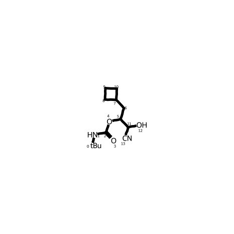 CC(C)(C)NC(=O)OC(CC1CCC1)C(O)C#N